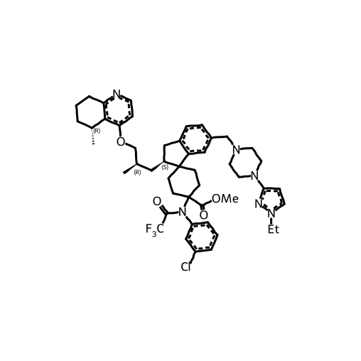 CCn1ccc(N2CCN(Cc3ccc4c(c3)C3(CCC(C(=O)OC)(N(C(=O)C(F)(F)F)c5cccc(Cl)c5)CC3)[C@@H](C[C@@H](C)COc3ccnc5c3[C@H](C)CCC5)C4)CC2)n1